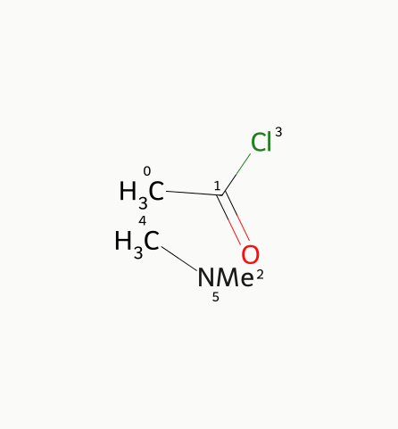 CC(=O)Cl.CNC